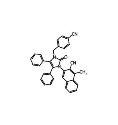 Cc1c(C#N)c(-n2c(-c3ccccc3)c(-c3ccccc3)n(Cc3ccc(C#N)cc3)c2=O)cc2ccccc12